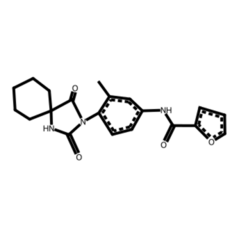 Cc1cc(NC(=O)c2ccco2)ccc1N1C(=O)NC2(CCCCC2)C1=O